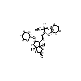 CCCCC(C)(F)[C@@H](/C=C/[C@H]1[C@@H]2CC(=O)O[C@@H]2C[C@@H]1OC1CCCCO1)OC1CCCCO1